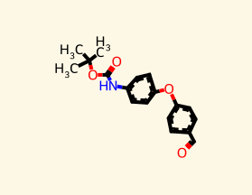 CC(C)(C)OC(=O)Nc1ccc(Oc2ccc(C=O)cc2)cc1